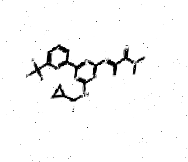 C/C(=N\c1nc(N[C@H](C)C2CC2)nc(-c2cccc(C(F)(F)F)n2)n1)C(=O)N(C)C